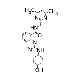 Cc1cc(C)nc(CNC(=O)c2cccc3cnc(NC4CCC(O)CC4)nc23)n1